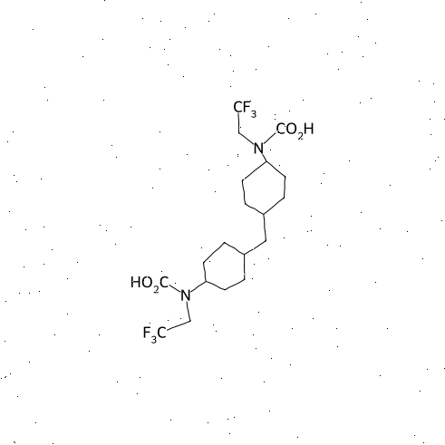 O=C(O)N(CC(F)(F)F)C1CCC(CC2CCC(N(CC(F)(F)F)C(=O)O)CC2)CC1